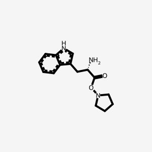 N[C@@H](Cc1c[nH]c2ccccc12)C(=O)ON1CCCC1